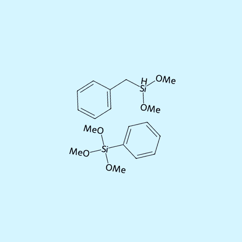 CO[SiH](Cc1ccccc1)OC.CO[Si](OC)(OC)c1ccccc1